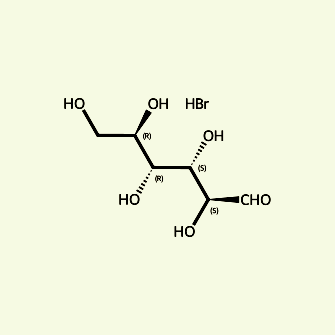 Br.O=C[C@@H](O)[C@@H](O)[C@H](O)[C@H](O)CO